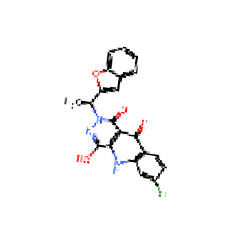 CC(c1cc2ccccc2o1)n1nc(O)c2[nH]c3cc(Cl)ccc3c(=O)c2c1=O